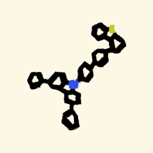 c1ccc(-c2ccc3c(c2)c2cc(-c4ccccc4)ccc2n3-c2ccc(-c3ccc(-c4cccc5sc6ccccc6c45)cc3)cc2)cc1